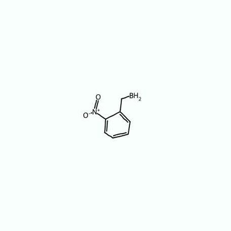 BCc1ccccc1[N+](=O)[O-]